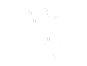 CN(C(=O)c1cc2c(cc1F)nc(N)c1cnn(C)c12)[C@@H]1COCc2ncccc21